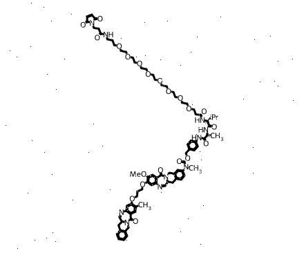 COc1cc2c(cc1OCCCOc1cc3c(cc1C)C(=O)N1Cc4ccccc4CC1C=N3)N=CC1Cc3ccc(N(C)C(=O)OCc4ccc(NC(=O)[C@H](C)NC(=O)[C@@H](NC(=O)CCOCCOCCOCCOCCOCCOCCOCCOCCCNC(=O)CCN5C(=O)C=CC5=O)C(C)C)cc4)cc3CN1C2=O